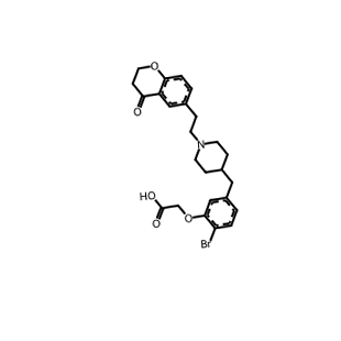 O=C(O)COc1cc(CC2CCN(CCc3ccc4c(c3)C(=O)CCO4)CC2)ccc1Br